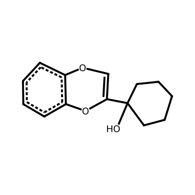 OC1(C2=COc3ccccc3O2)CCCCC1